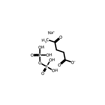 CC(=O)CCC(=O)[O-].O=P(O)(O)OP(=O)(O)O.[Na+]